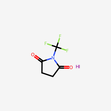 I.O=C1CCC(=O)N1C(F)(F)F